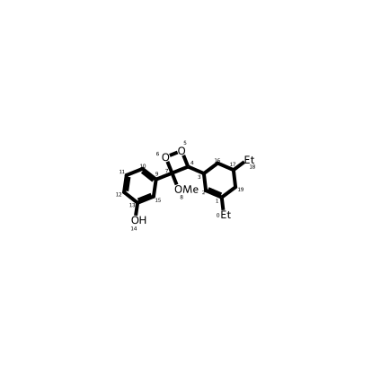 CCC1=CC(C2OOC2(OC)c2cccc(O)c2)CC(CC)C1